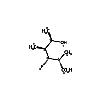 C[C@H]([C@@H](F)[C@H](C)C(=O)O)[C@@H](C)O